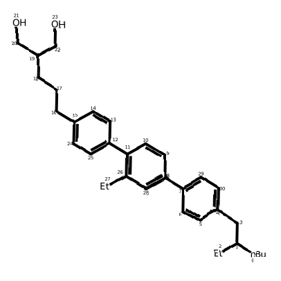 CCCCC(CC)Cc1ccc(-c2ccc(-c3ccc(CCCC(CO)CO)cc3)c(CC)c2)cc1